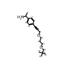 CC(N)c1ccc(C#CCOCCCOCC(C)(C)C)cc1